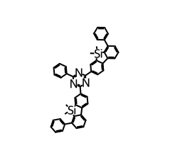 C[Si]1(C)c2cc(-c3nc(-c4ccccc4)nc(-c4ccc5c(c4)[Si](C)(C)c4c(-c6ccccc6)cccc4-5)n3)ccc2-c2cccc(-c3ccccc3)c21